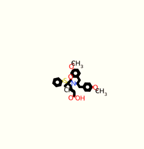 CCC1(Sc2ccccc2)C(=O)N(C(Cc2ccc(OC)cc2)Cc2ccc(OC)cc2)C1C=CC(=O)O